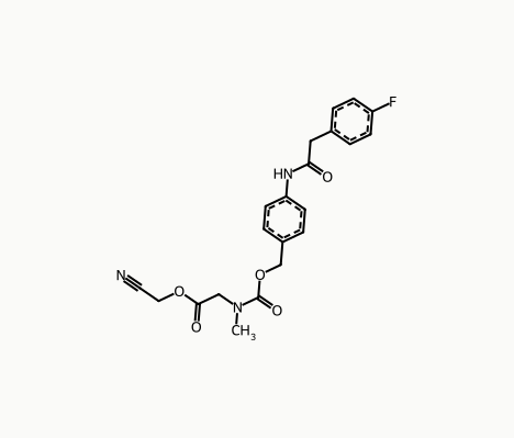 CN(CC(=O)OCC#N)C(=O)OCc1ccc(NC(=O)Cc2ccc(F)cc2)cc1